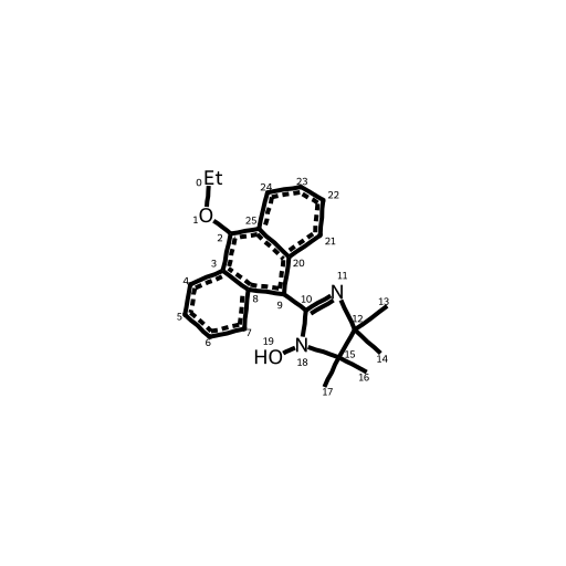 CCOc1c2ccccc2c(C2=NC(C)(C)C(C)(C)N2O)c2ccccc12